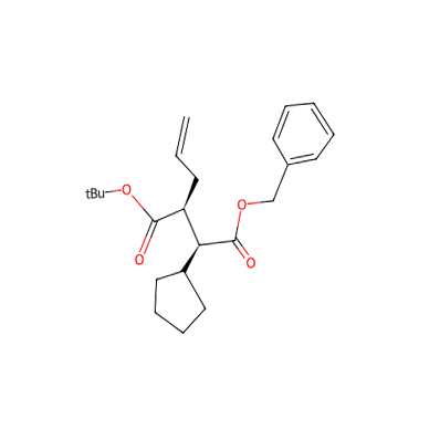 C=CC[C@H](C(=O)OC(C)(C)C)[C@@H](C(=O)OCc1ccccc1)C1CCCC1